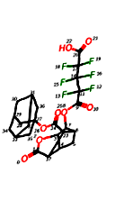 O=C1OC2C3CC(C2OC(=O)C(F)(F)C(F)(F)C(F)(F)C(=O)O)C(C(=O)OC24CC5CC(CC(C5)C2)C4)C13